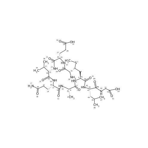 CSCC[C@H](NC(=O)[C@H](C)NC(=O)[C@H](CCC(N)=O)NC(=O)[C@@H](NC(=O)[C@H](CCC(=O)O)NC(=O)CN)C(C)C)C(=O)N[C@@H](CC(C)C)C(=O)NCC(=O)O